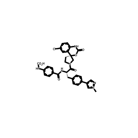 Cn1cc(-c2ccc(C[C@H](NC(=O)c3ccc(NC(=O)O)cc3)C(=O)N3CC[C@@]4(C3)OC(=O)Nc3ccc(Cl)cc34)cc2)cn1